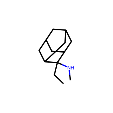 CCC1(NC)C2CC3CC(C2)CC1C3